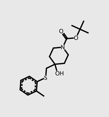 Cc1ccccc1SCC1(O)CCN(C(=O)OC(C)(C)C)CC1